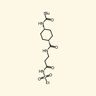 CCS(=O)(=O)NC(=O)CCNC(=O)[C@H]1CC[C@@H](NC(=O)C(C)(C)C)CC1